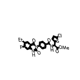 CCc1cc2c(=O)n(-c3ccc(C(=O)NC(C(=O)OC)c4ccc(Cl)s4)cc3)c(=O)[nH]c2cc1F